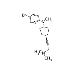 CN(C)CC#C[C@H]1CC[C@H](N(C)c2ccc(Br)cn2)CC1